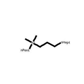 CCCCCCCCCC[N+](C)(C)CCCCC